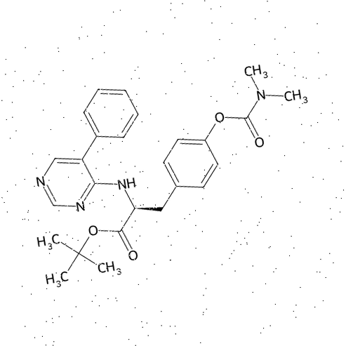 CN(C)C(=O)Oc1ccc(C[C@H](Nc2ncncc2-c2ccccc2)C(=O)OC(C)(C)C)cc1